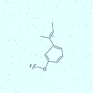 C/C=C(\C)c1cccc(OC(F)(F)F)c1